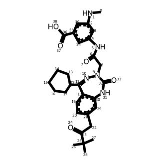 CNc1cc(NC(=O)CN2N=C(C3CCCCC3)c3ccc(CC(=O)C(C)(C)C)cc3NC2=O)cc(C(=O)O)c1